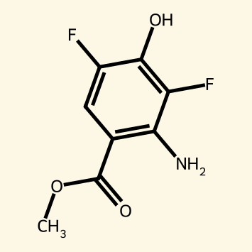 COC(=O)c1cc(F)c(O)c(F)c1N